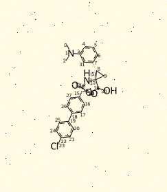 CN(C)c1cccc([C@@H]2CC2(NS(=O)(=O)c2ccc(-c3ccc(Cl)cc3)cc2)C(=O)O)c1